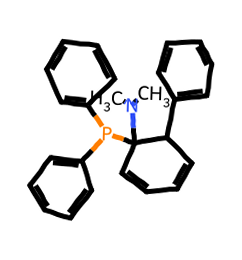 CN(C)C1(P(c2ccccc2)c2ccccc2)C=CC=CC1c1ccccc1